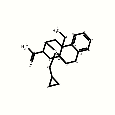 CCC12CC3C(C(C)=O)CC1C(Cc1ccccc12)N3CC1CC1